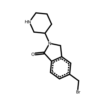 O=C1c2ccc(CBr)cc2CN1C1CCCNC1